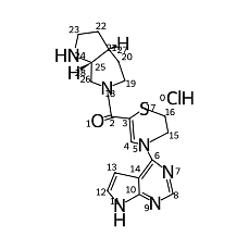 Cl.O=C(C1=CN(c2ncnc3[nH]ccc23)CCS1)N1CC[C@H]2CCN[C@H]2C1